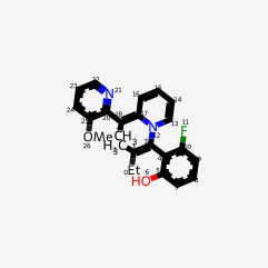 CC/C(C)=C(\c1c(O)cccc1F)N1C=CC=C/C1=C(/C)c1ncccc1OC